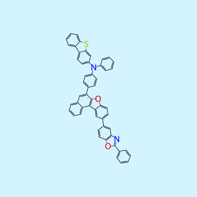 c1ccc(-c2nc3cc(-c4ccc5oc6c(-c7ccc(N(c8ccccc8)c8ccc9c(c8)sc8ccccc89)cc7)cc7ccccc7c6c5c4)ccc3o2)cc1